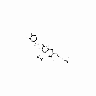 N=C(N)NOCCC(Cc1ccc(NS(=O)(=O)c2ccc(Cl)c([N+](=O)[O-])c2)c(=O)[nH]1)C(N)=O.O=C(O)C(F)(F)F